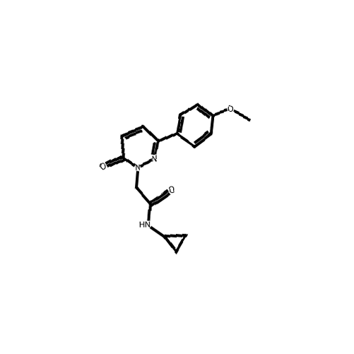 COc1ccc(-c2ccc(=O)n(CC(=O)NC3CC3)n2)cc1